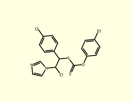 CCc1ccc(OC(=S)SC(c2ccc(Cl)cc2)C(Cl)n2ccnc2)cc1